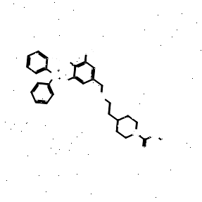 COc1cc(COCCC2CCN(C(=O)OC(C)(C)C)CC2)cc(O[Si](c2ccccc2)(c2ccccc2)C(C)(C)C)c1OC